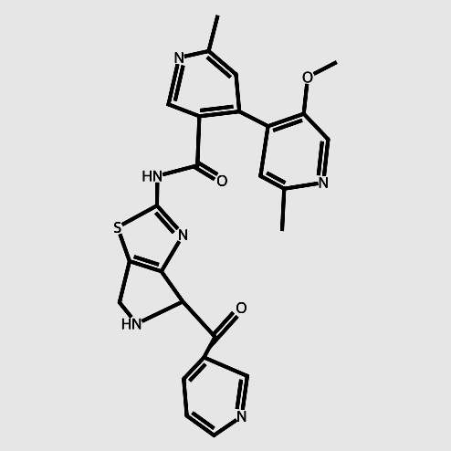 COc1cnc(C)cc1-c1cc(C)ncc1C(=O)Nc1nc2c(s1)CNC2C(=O)c1cccnc1